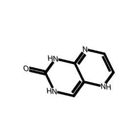 O=C1NC=C2NC=CN=C2N1